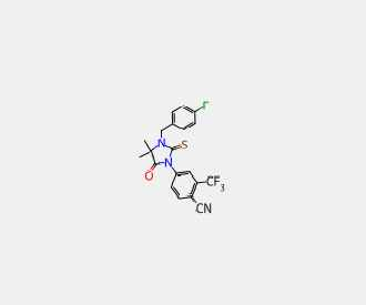 CC1(C)C(=O)N(c2ccc(C#N)c(C(F)(F)F)c2)C(=S)N1Cc1ccc(F)cc1